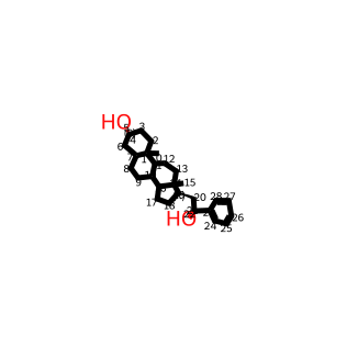 CC12CC[C@H](O)CC1CCC1C2CCC2(C)C1CC[C@@H]2CC(O)c1ccccc1